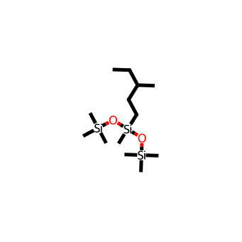 CCC(C)CC[Si](C)(O[Si](C)(C)C)O[Si](C)(C)C